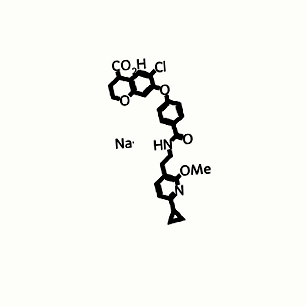 COc1nc(C2CC2)ccc1CCNC(=O)c1ccc(Oc2cc3c(cc2Cl)C(C(=O)O)CCO3)cc1.[Na]